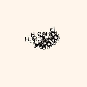 C=CC[C@H]1C[C@@H]1S(=O)(=O)NC(=O)c1ccc2c(c1)N(C[C@@H]1CC[C@H]1[C@@H](O)C=C)C[C@@]1(CCCc3cc(Cl)ccc31)CO2